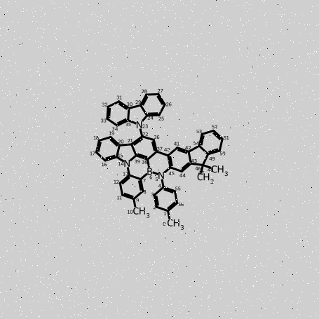 Cc1ccc(N2B3c4cc(C)ccc4-n4c5ccccc5c5c(-n6c7ccccc7c7ccccc76)cc(c3c54)-c3cc4c(cc32)C(C)(C)c2ccccc2-4)cc1